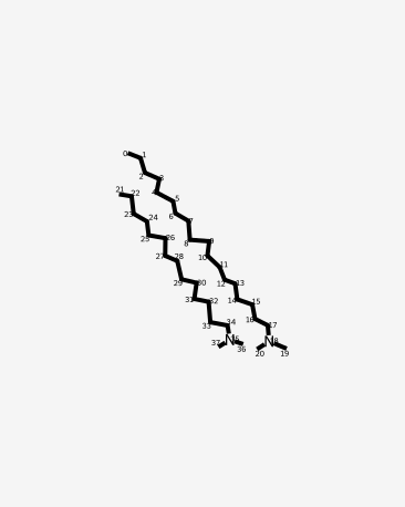 CCCCCCCCCCCCCCCCCCN(C)C.CCCCCCCCCCCCCCN(C)C